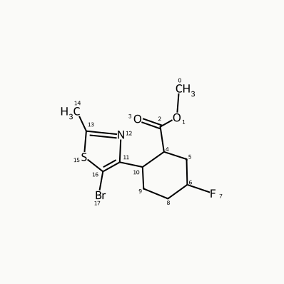 COC(=O)C1CC(F)CCC1c1nc(C)sc1Br